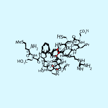 CSCC[C@H](N)C(=O)N[C@@H](CCC(=O)O)C(=O)N[C@@H](Cc1ccccc1)C(=O)N[C@@H](CO)C(=O)N[C@@H](CC(C)C)C(=O)N[C@@H](CC(C)C)C(=O)N[C@@H](CC(C)C)C(=O)N1CCC[C@H]1C(=O)N[C@@H](CCCNC(=N)N)C(=O)N[C@@H](CC(C)C)C(=O)N[C@@H](CCC(=O)O)C(=O)N[C@@H](CS)C(=O)N[C@@H](CC(N)=O)C(=O)NCC(=O)N[C@@H](C)C(=O)O